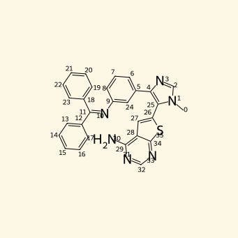 Cn1cnc(-c2cccc(N=C(c3ccccc3)c3ccccc3)c2)c1-c1cc2c(N)ncnc2s1